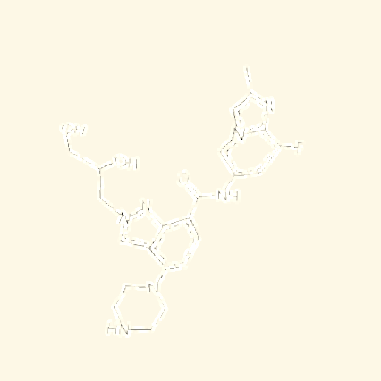 Cc1cn2cc(NC(=O)c3ccc(N4CCNCC4)c4cn(CC(O)CO)nc34)cc(F)c2n1